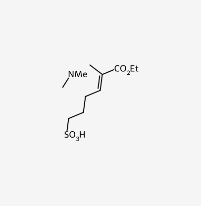 CCOC(=O)C(C)=CCCCS(=O)(=O)O.CNC